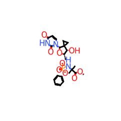 COC(=O)C(C)(C)NP(=O)(OC[C@H]1O[C@@H](n2ccc(=O)[nH]c2=O)C2(CC2)[C@@H]1O)Oc1ccccc1